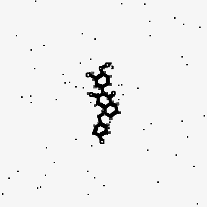 O=c1nc2n(Cc3ccc(Cl)nc3)cccc-2c(=O)n1-c1ccc(OC(F)(F)F)c(Cl)c1